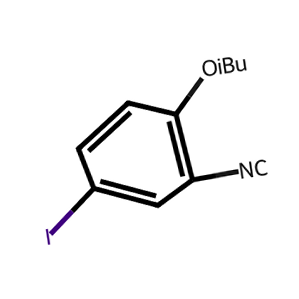 [C-]#[N+]c1cc(I)ccc1OCC(C)C